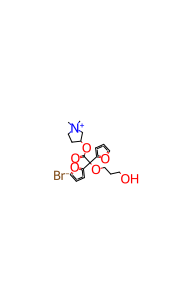 C[N+]1(C)CCC(OC(=O)C(OCCCO)(c2ccco2)c2ccco2)C1.[Br-]